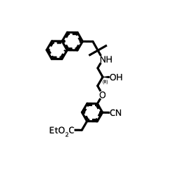 CCOC(=O)Cc1ccc(OC[C@H](O)CNC(C)(C)Cc2ccc3ccccc3c2)c(C#N)c1